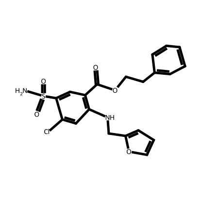 NS(=O)(=O)c1cc(C(=O)OCCc2ccccc2)c(NCc2ccco2)cc1Cl